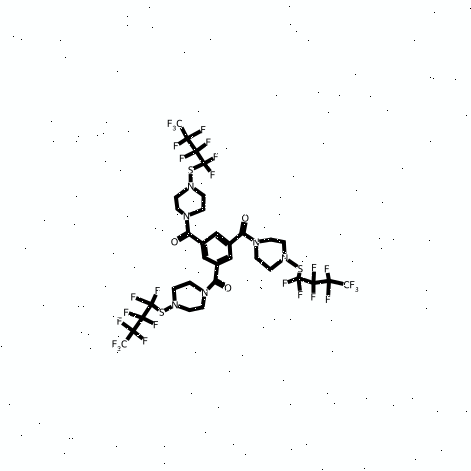 O=C(c1cc(C(=O)N2CCN(SC(F)(F)C(F)(F)C(F)(F)C(F)(F)F)CC2)cc(C(=O)N2CCN(SC(F)(F)C(F)(F)C(F)(F)C(F)(F)F)CC2)c1)N1CCN(SC(F)(F)C(F)(F)C(F)(F)C(F)(F)F)CC1